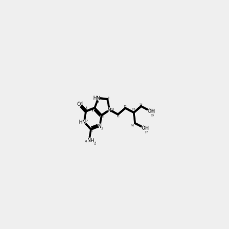 Nc1nc2c(c(=O)[nH]1)NCN2CCC(CO)CO